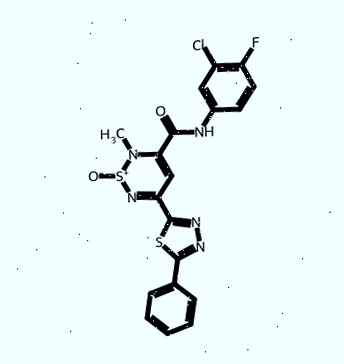 CN1C(C(=O)Nc2ccc(F)c(Cl)c2)=CC(c2nnc(-c3ccccc3)s2)=N[S+]1[O-]